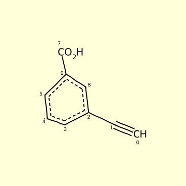 C#Cc1c[c]cc(C(=O)O)c1